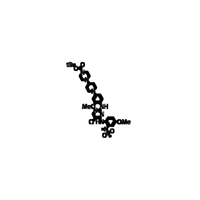 COc1ccc(Nc2nc(Nc3ccc(N4CCC(N5CCN(C(=O)OC(C)(C)C)CC5)CC4)cc3OC)ncc2Cl)c(N(C)S(C)(=O)=O)c1